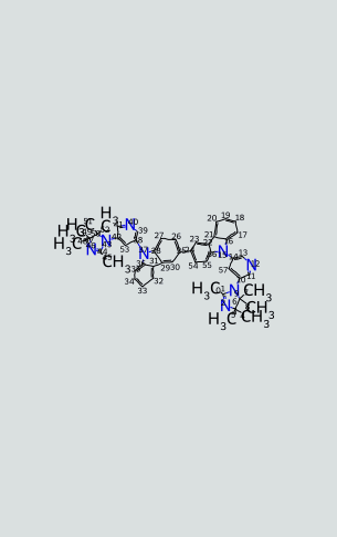 CC1=NC(C)(C)C(C)(C)N1c1cncc(-n2c3ccccc3c3cc(-c4ccc5c(c4)c4ccccc4n5-c4cncc(N5C(C)=NC(C)(C)C5(C)C)c4)ccc32)c1